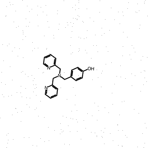 Oc1ccc(CN(Cc2ccccn2)Cc2ccccn2)cc1